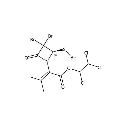 CC(=O)S[C@H]1N(C(C(=O)OC(Cl)C(Cl)Cl)=C(C)C)C(=O)C1(Br)Br